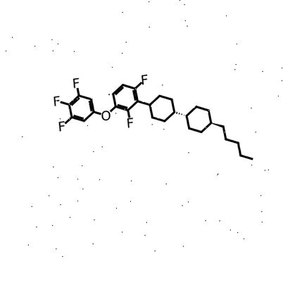 CCCCC[C@H]1CC[C@H](C2CCC(c3c(F)c[c]c(Oc4cc(F)c(F)c(F)c4)c3F)CC2)CC1